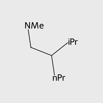 CCCC(CNC)C(C)C